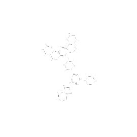 c1ccc(-c2nc(-c3ccc(-c4c5ccc6ccccc6c5nc5c4ccc4ccccc45)cc3)nc(-c3cc4ccccc4s3)n2)cc1